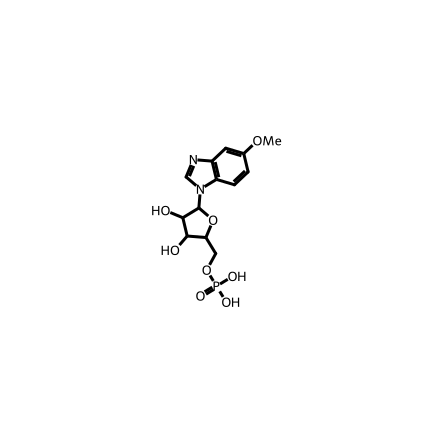 COc1ccc2c(c1)ncn2C1OC(COP(=O)(O)O)C(O)C1O